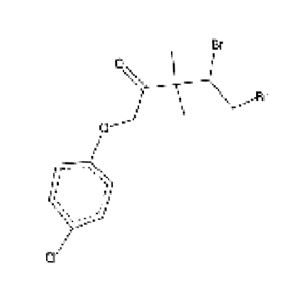 CC(C)(C(=O)COc1ccc(Cl)cc1)C(Br)CBr